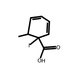 CC1C=CC=CC1(I)C(=O)O